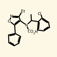 CCc1noc(-c2ccccc2)c1N(C(=O)O)C(C)c1ccccc1Cl